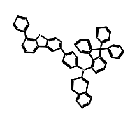 c1ccc(-c2cccc3c2oc2ccc(-c4ccc(N(c5ccc6ccccc6c5)c5cccc6c5-c5ccccc5C6(c5ccccc5)c5ccccc5)cc4)cc23)cc1